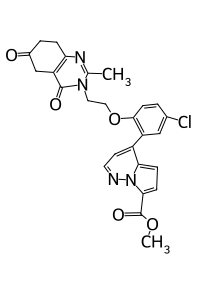 COC(=O)c1ccc2c(-c3cc(Cl)ccc3OCCn3c(C)nc4c(c3=O)CC(=O)CC4)ccnn12